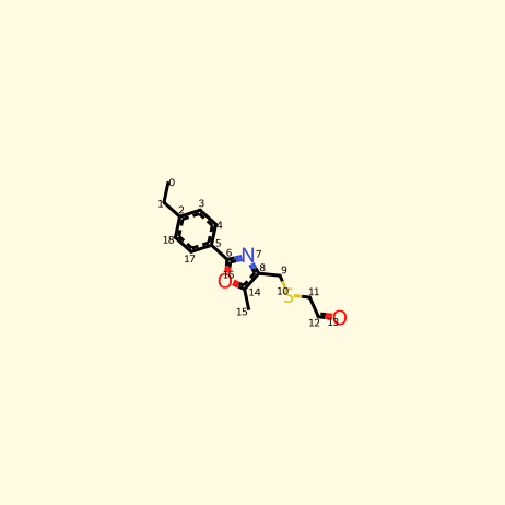 CCc1ccc(-c2nc(CSCC=O)c(C)o2)cc1